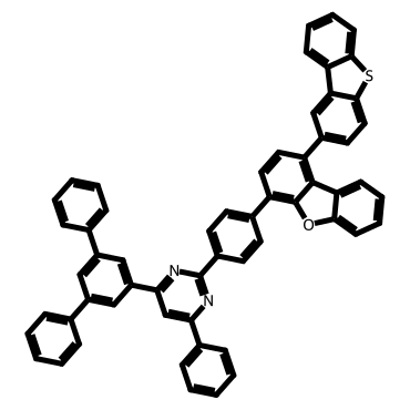 c1ccc(-c2cc(-c3ccccc3)cc(-c3cc(-c4ccccc4)nc(-c4ccc(-c5ccc(-c6ccc7sc8ccccc8c7c6)c6c5oc5ccccc56)cc4)n3)c2)cc1